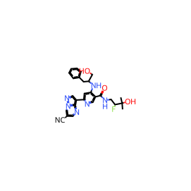 CC(C)(O)C(F)CNC(=O)c1cnc(-c2cnn3cc(C#N)cnc23)cc1NC(CO)Cc1ccccc1